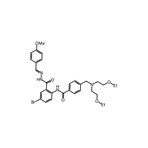 CCOCCN(CCOCC)Cc1ccc(C(=O)Nc2ccc(Br)cc2C(=O)NN=Cc2ccc(OC)cc2)cc1